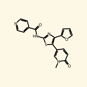 Cn1cc(-c2sc(NC(=O)c3ccncc3)nc2-c2ccco2)ccc1=O